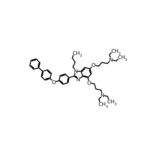 CCCCn1c(-c2ccc(Oc3ccc(-c4ccccc4)cc3)cc2)nc2c(OCCCN(CC)CC)cc(OCCCN(CC)CC)cc21